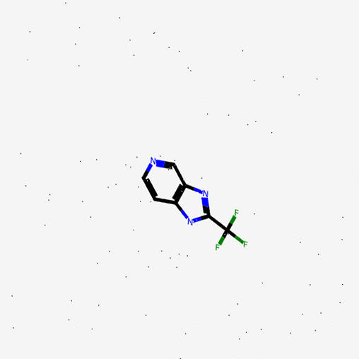 FC(F)(F)C1=Nc2cnccc2[N]1